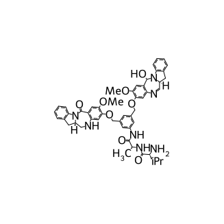 COc1cc2c(cc1OCc1cc(COc3cc4c(cc3OC)C(=O)N3c5ccccc5C[C@H]3CN4)cc(NC(=O)[C@H](C)NC(=O)[C@@H](N)C(C)C)c1)N=C[C@@H]1Cc3ccccc3N1C2O